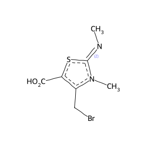 C/N=c1\sc(C(=O)O)c(CBr)n1C